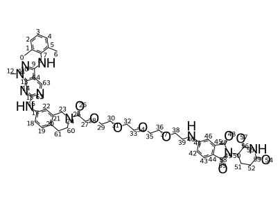 Cc1cccc(C)c1Nc1nn(C)c2nc(Nc3ccc4c(c3)CN(C(=O)COCCOCCOCCOCCNc3ccc5c(c3)C(=O)N(C3CCC(=O)NC3=O)C5=O)CC4)ncc12